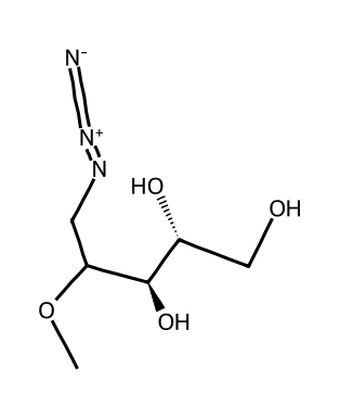 COC(CN=[N+]=[N-])[C@H](O)[C@H](O)CO